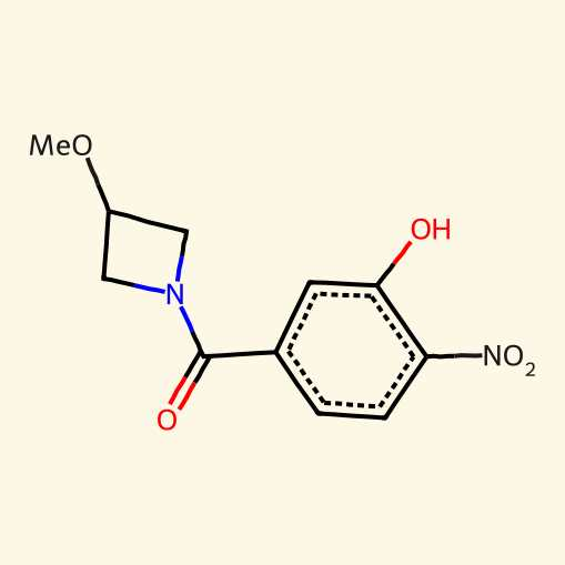 COC1CN(C(=O)c2ccc([N+](=O)[O-])c(O)c2)C1